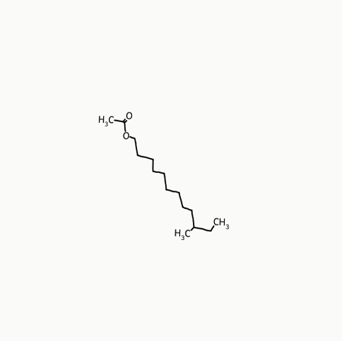 CCC(C)CCCCCCCCCOC(C)=O